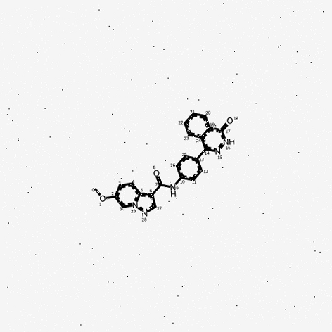 COc1ccc2c(C(=O)Nc3ccc(-c4n[nH]c(=O)c5ccccc45)cc3)cnn2c1